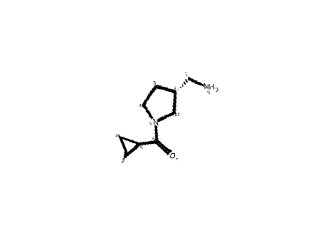 NC[C@H]1CCN(C(=O)C2CC2)C1